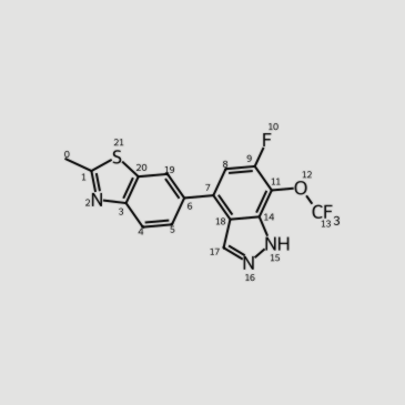 Cc1nc2ccc(-c3cc(F)c(OC(F)(F)F)c4[nH]ncc34)cc2s1